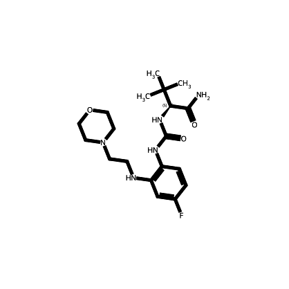 CC(C)(C)[C@H](NC(=O)Nc1ccc(F)cc1NCCN1CCOCC1)C(N)=O